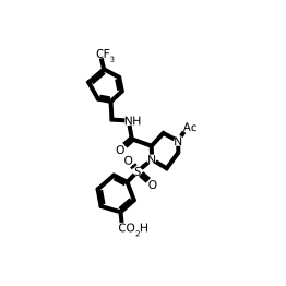 CC(=O)N1CCN(S(=O)(=O)c2cccc(C(=O)O)c2)C(C(=O)NCc2ccc(C(F)(F)F)cc2)C1